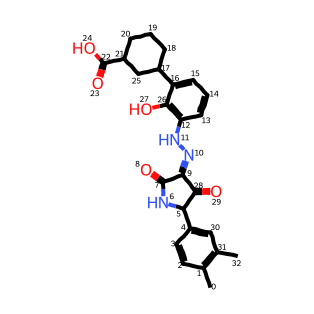 Cc1ccc(C2NC(=O)/C(=N\Nc3cccc(C4CCCC(C(=O)O)C4)c3O)C2=O)cc1C